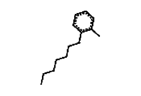 CCCCCC[CH]c1ccccc1C